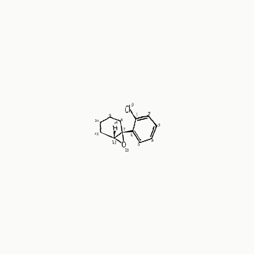 Clc1ccccc1[C@]12CCCC[C@H]1O2